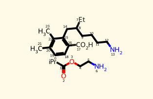 CC(C)C(=O)OCCN.CCC(CCCCN)Cc1c(C(=O)O)ccc(C)c1C